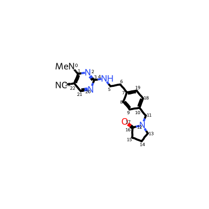 CNc1nc(NCCc2ccc(CN3CCCC3=O)cc2)ncc1C#N